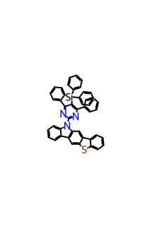 c1ccc(-c2nc(-n3c4ccccc4c4cc5sc6ccccc6c5cc43)nc3c2[Si](c2ccccc2)(c2ccccc2)c2ccccc2-3)cc1